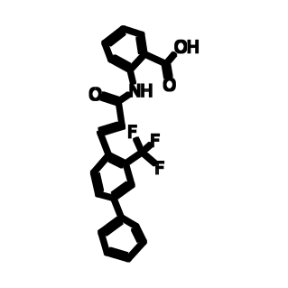 O=C(/C=C/c1ccc(-c2ccccc2)cc1C(F)(F)F)Nc1ccccc1C(=O)O